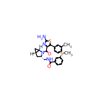 CSc1cccc(C(=O)NC[C@@H]2C[C@@H]3C[C@@H]3N2C(=O)c2nc(N)sc2-c2cccc(C)c2)c1